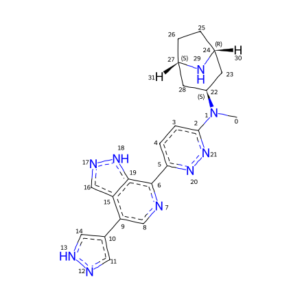 CN(c1ccc(-c2ncc(-c3cn[nH]c3)c3cn[nH]c23)nn1)[C@@H]1C[C@H]2CC[C@@H](C1)N2